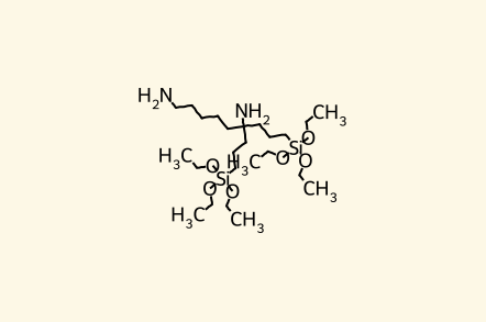 CCO[Si](CCCC(N)(CCCCCN)CCC[Si](OCC)(OCC)OCC)(OCC)OCC